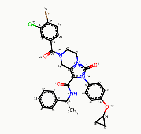 C[C@@H](NC(=O)c1c2n(c(=O)n1-c1ccc(OC3CC3)cc1)CCN(C(=O)c1ccc(Br)c(Cl)c1)C2)c1ccccc1